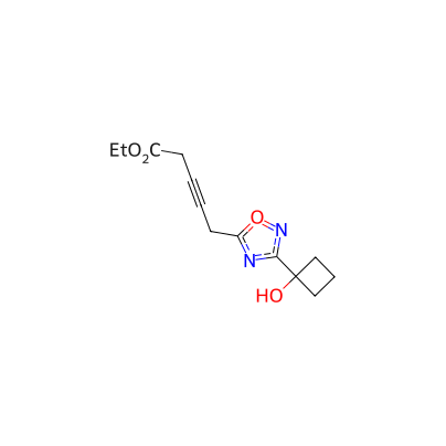 CCOC(=O)CC#CCc1nc(C2(O)CCC2)no1